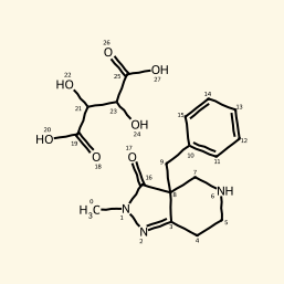 CN1N=C2CCNCC2(Cc2ccccc2)C1=O.O=C(O)C(O)C(O)C(=O)O